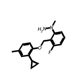 Cc1ccc(OCc2c(F)cccc2N(C)N)c(C2CC2)c1